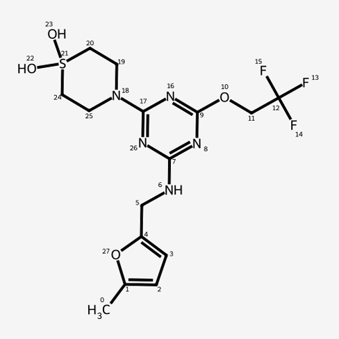 Cc1ccc(CNc2nc(OCC(F)(F)F)nc(N3CCS(O)(O)CC3)n2)o1